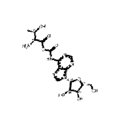 C[C@@H](O)[C@H](N)C(=O)OC(=O)Nc1ncnc2c1ncn2[C@@H]1O[C@H](CO)[C@@H](O)[C@H]1O